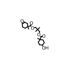 CC(C)(COC(=O)C1(C)CCC(O)CC1)COC(=O)C1(C)CCC2OC2C1